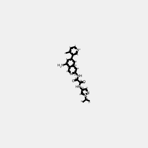 Cc1ccncc1-c1cc(N)c2cnc(NC(=O)C(=O)Nc3cnn(C(C)C)c3)cc2c1